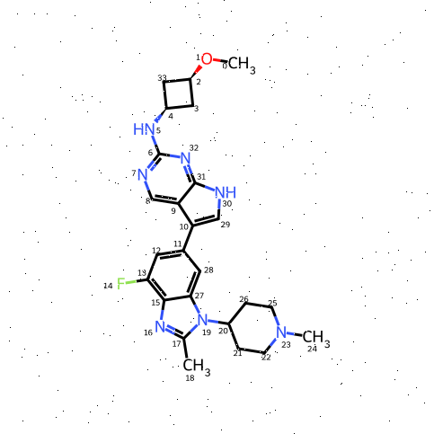 CO[C@H]1C[C@@H](Nc2ncc3c(-c4cc(F)c5nc(C)n(C6CCN(C)CC6)c5c4)c[nH]c3n2)C1